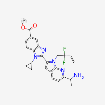 C=CC(F)(F)Cn1c(-c2nc3cc(C(=O)OC(C)C)ccc3n2C2CC2)cc2ccc(C(C)N)nc21